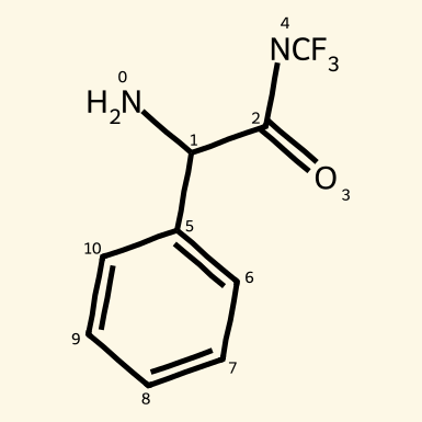 NC(C(=O)NC(F)(F)F)c1ccccc1